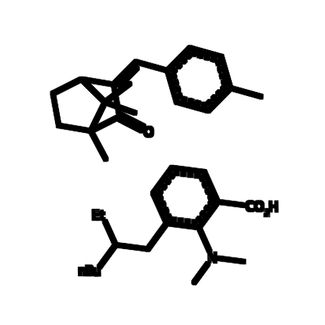 CCCCC(CC)Cc1cccc(C(=O)O)c1N(C)C.Cc1ccc(C=C2C(=O)C3(C)CCC2C3(C)C)cc1